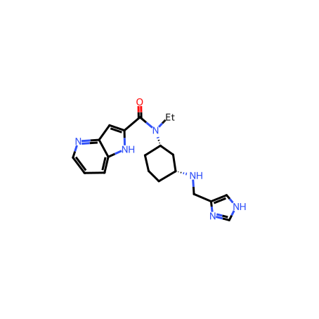 CCN(C(=O)c1cc2ncccc2[nH]1)[C@H]1CCC[C@@H](NCc2c[nH]cn2)C1